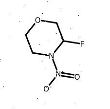 O=[N+]([O-])N1CCOCC1F